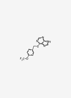 FC(F)(F)Oc1ccc(CSc2ncnc3[nH]cnc23)cc1